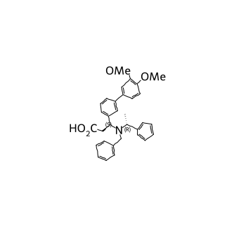 COc1ccc(-c2cccc([C@H](CC(=O)O)N(Cc3ccccc3)[C@H](C)c3ccccc3)c2)cc1OC